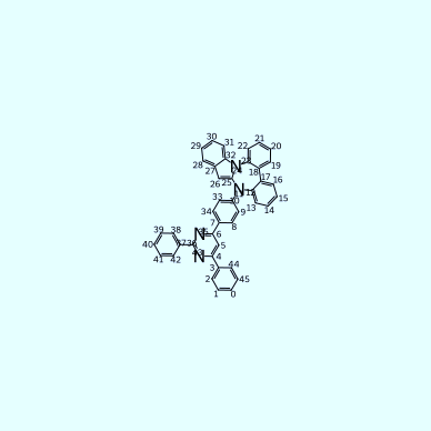 c1ccc(-c2cc(-c3ccc(N4c5ccccc5-c5ccccc5-n5c4cc4ccccc45)cc3)nc(-c3ccccc3)n2)cc1